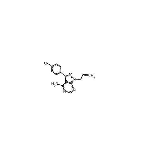 C=CCn1nc(-c2ccc(Cl)cc2)c2c(N)ncnc21